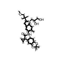 COCC(C)(C)c1cc2cc(NC(=O)C3(c4ccc5c(c4)OC(F)(F)O5)CC3)c(F)cc2n1C[C@@H](O)CO